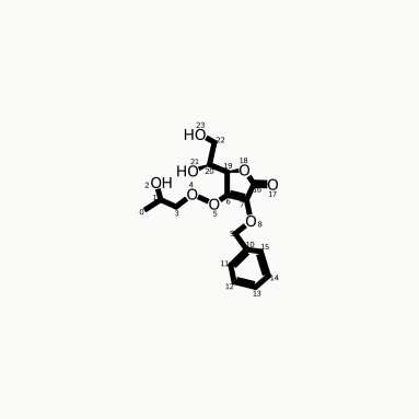 CC(O)COOC1=C(OCc2ccccc2)C(=O)O[C@@H]1[C@@H](O)CO